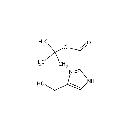 CC(C)(C)OC=O.OCc1c[nH]cn1